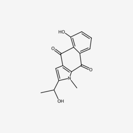 CC(O)c1cc2c(n1C)C(=O)c1cccc(O)c1C2=O